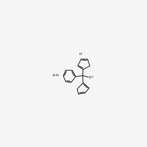 [H-].[H-].[H-].[Ti+3][C](C1=CC=CC1)(C1=CC=CC1)c1ccccc1